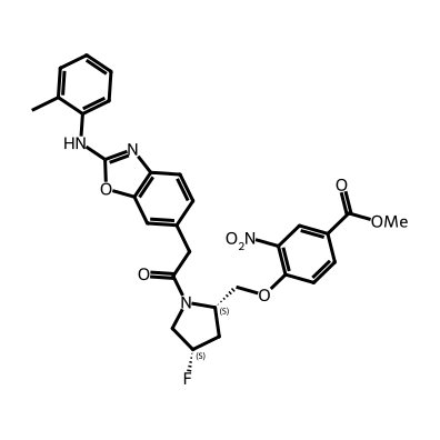 COC(=O)c1ccc(OC[C@@H]2C[C@H](F)CN2C(=O)Cc2ccc3nc(Nc4ccccc4C)oc3c2)c([N+](=O)[O-])c1